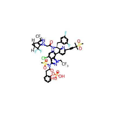 CC(C)(C#Cc1ccc(-c2ccc(Cl)c3c(N(C(=O)Cc4ccccc4OP(=O)(O)O)S(C)(=O)=O)nn(CC(F)(F)F)c23)c([C@H](Cc2cc(F)cc(F)c2)NC(=O)Cn2nc(C(F)(F)F)c3c2C(F)(F)[C@@H]2C[C@H]32)n1)S(C)(=O)=O